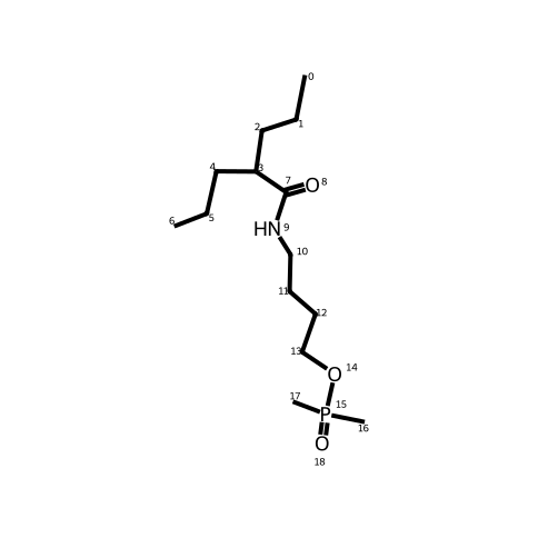 CCCC(CCC)C(=O)NCCCCOP(C)(C)=O